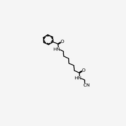 N#CCNC(=O)CCCCCCNC(=O)c1ccccc1